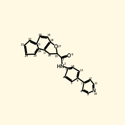 O=C(Nc1ccc(-c2ccncc2)cc1)C1Cc2c(ccc3ccccc23)O1